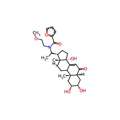 COCCN(C(=O)c1ccco1)C(C)[C@H]1CC[C@@]2(O)C3=CC(=O)[C@@H]4C[C@@H](O)[C@@H](O)C[C@]4(C)C3CC[C@]12C